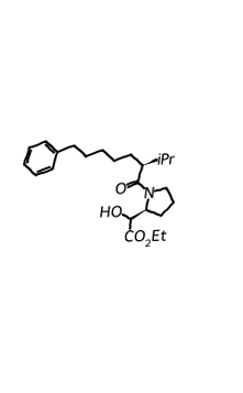 CCOC(=O)C(O)[C@@H]1CCCN1C(=O)[C@@H](CCCCCc1ccccc1)C(C)C